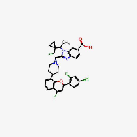 CC(n1c(CN2CCC(c3cccc4c3OC(c3ccc(Cl)cc3F)C=C4F)CC2)nc2ccc(C(=O)O)cc21)C1(CF)CC1